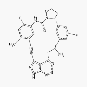 Cc1cc(F)c(NC(=O)N2OCC[C@@H]2c2cc(F)cc(F)c2)cc1C#Cc1n[nH]c2ncnc(CCN)c12